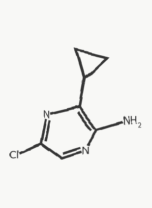 Nc1ncc(Cl)nc1C1CC1